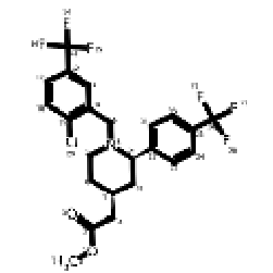 COC(=O)C[C@H]1CCN(Cc2cc(C(F)(F)F)ccc2Cl)[C@@H](c2ccc(C(F)(F)F)cc2)C1